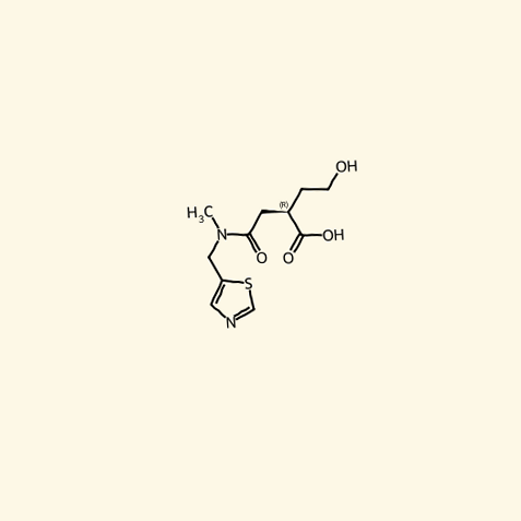 CN(Cc1cncs1)C(=O)C[C@@H](CCO)C(=O)O